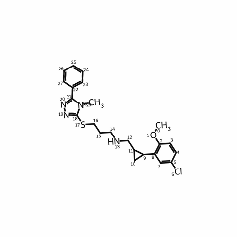 COc1ccc(Cl)cc1C1CC1CNCCCSc1nnc(-c2ccccc2)n1C